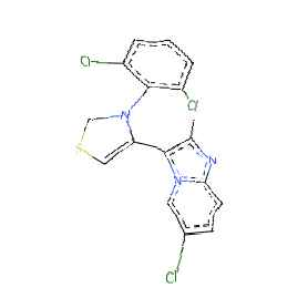 Cc1nc2ccc(Cl)cn2c1C1=CSCN1c1c(Cl)cccc1Cl